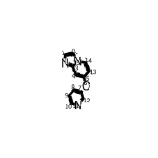 [c]1cnc2cc(Oc3cccnc3)ccn12